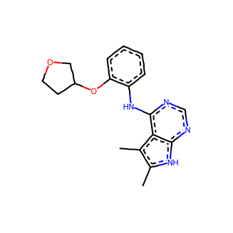 Cc1[nH]c2ncnc(Nc3ccccc3OC3CCOC3)c2c1C